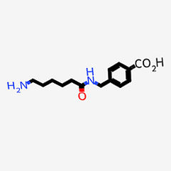 NCCCCCC(=O)NCc1ccc(C(=O)O)cc1